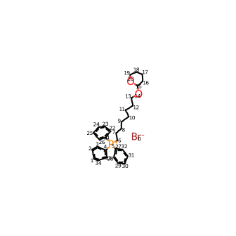 [Br-].c1ccc([P+](CCCCCCCCOC2CCCCO2)(c2ccccc2)c2ccccc2)cc1